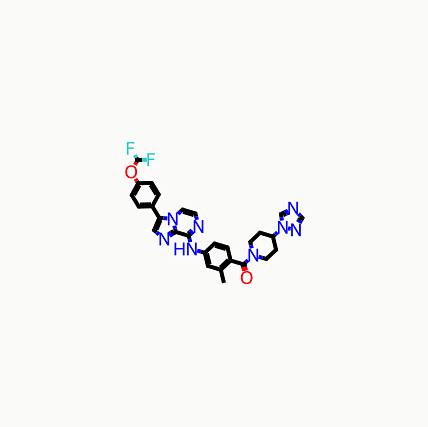 Cc1cc(Nc2nccn3c(-c4ccc(OC(F)F)cc4)cnc23)ccc1C(=O)N1CCC(n2cncn2)CC1